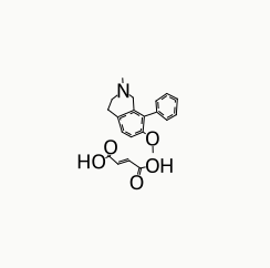 COc1ccc2c(c1-c1ccccc1)CN(C)CC2.O=C(O)C=CC(=O)O